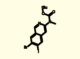 CN(C(=O)OC(C)(C)C)c1cc2cc(I)c(Br)cc2cn1